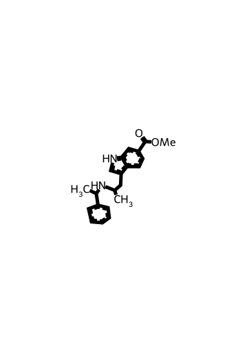 COC(=O)c1ccc2c(CC(C)NC(C)c3ccccc3)c[nH]c2c1